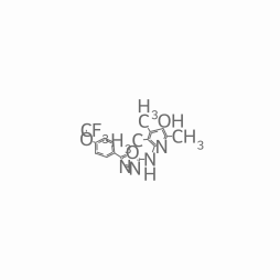 Cc1nc(Nc2nnc(-c3ccc(OC(F)(F)F)cc3)o2)c(C)c(C)c1O